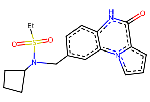 CCS(=O)(=O)N(Cc1ccc2[nH]c(=O)c3cccn3c2c1)C1CCC1